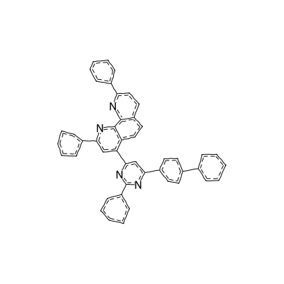 c1ccc(-c2ccc(-c3cc(-c4cc(-c5ccccc5)nc5c4ccc4ccc(-c6ccccc6)nc45)nc(-c4ccccc4)n3)cc2)cc1